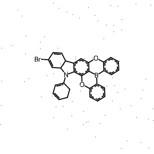 BrC1=CC2C(C=C1)c1cc3c4c(c1N2C1=CC=CCC1)Oc1ccccc1B4c1ccccc1O3